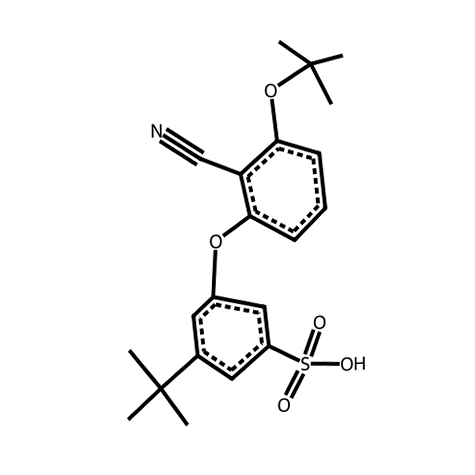 CC(C)(C)Oc1cccc(Oc2cc(C(C)(C)C)cc(S(=O)(=O)O)c2)c1C#N